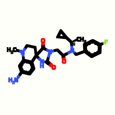 C[C@@H](C1CC1)N(Cc1ccc(F)cc1)C(=O)CN1C(=O)NC2(CCN(C)c3cc(N)ccc32)C1=O